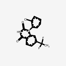 CC(F)(F)c1ccc2c(=O)[nH]c(=O)n(-c3ccccc3Cl)c2c1